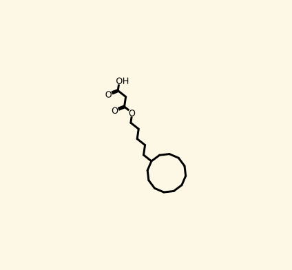 O=C(O)CC(=O)OCCCCCC1CCCCCCCCCCC1